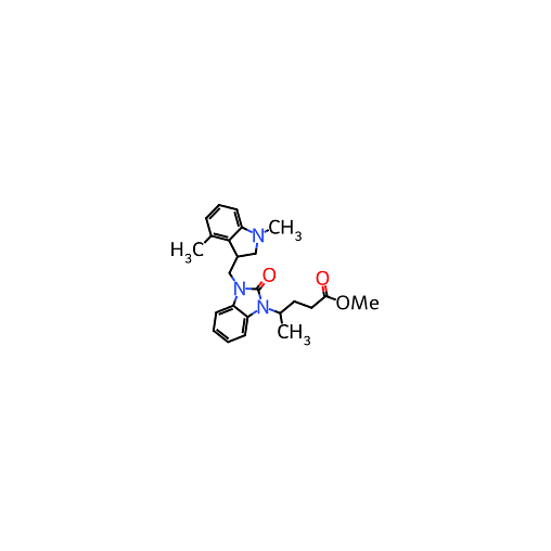 COC(=O)CCC(C)n1c(=O)n(CC2CN(C)c3cccc(C)c32)c2ccccc21